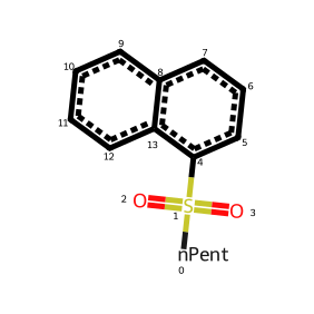 CCCCCS(=O)(=O)c1cccc2ccccc12